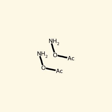 CC(=O)ON.CC(=O)ON